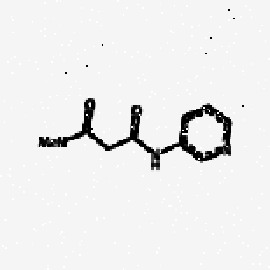 CNC(=O)CC(=O)Nc1cccnc1